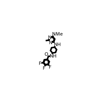 CNc1cc(NC2CCC(NC(=O)c3cc(F)c(F)c(F)c3)CC2)nc(C)n1